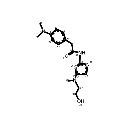 CN(C)c1ccc(CC(=O)Nc2ncc(N(C)CCO)s2)cc1